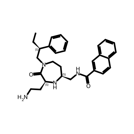 CC[C@H](CN1CC[C@@H](CNC(=O)c2ccc3ccccc3c2)N[C@@H](CCN)C1=O)c1ccccc1